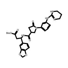 COC(=O)CC(NC(=O)C1CC(=O)N(c2cccc(NC3=NCCCN3)c2)C1)c1ccc2c(c1)OCO2